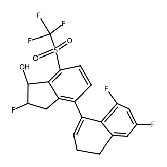 O=S(=O)(c1ccc(C2=CCCc3cc(F)cc(F)c32)c2c1C(O)C(F)C2)C(F)(F)F